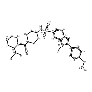 COCc1ccc(-c2cc3ccc(S(=O)(=O)NC4CCC(C(=O)N5CCOCC5C(C)C)CC4)cc3n2C)cc1